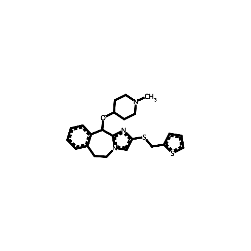 CN1CCC(OC2c3ccccc3CCn3cc(SCc4cccs4)nc32)CC1